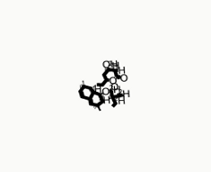 [2H]C1([2H])C(=O)OC(CC[C@@H]2[C@@H]3C(=C[C@H](C)C[C@@H]3OC(=O)[C@]([2H])(CC)C([2H])([2H])[2H])C=C[C@@H]2C)C[C@H]1O